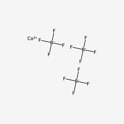 F[B-](F)(F)F.F[B-](F)(F)F.F[B-](F)(F)F.[Co+3]